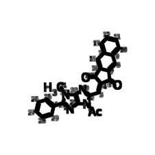 CC(=O)n1c(C=C2C(=O)c3cc4ccccc4cc3C2=O)nc2c1nc(-c1ccccc1)n2C